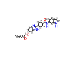 COC(=O)COc1ccc2nc(-c3ccc(C(=O)Nc4ccc5cc[nH]c5c4)cc3)[nH]c2c1